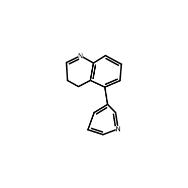 C1=Nc2cccc(-c3cccnc3)c2CC1